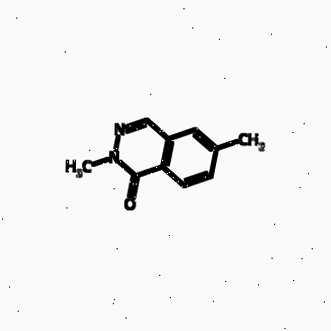 Cc1ccc2c(=O)n(C)ncc2c1